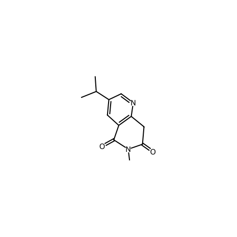 CC(C)c1cnc2c(c1)C(=O)N(C)C(=O)C2